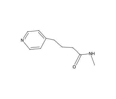 CNC(=O)CCCc1ccncc1